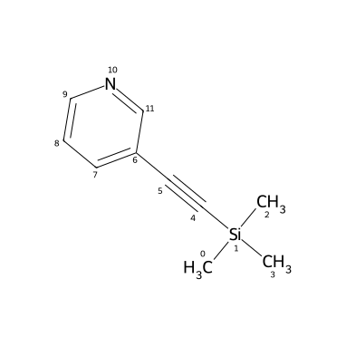 C[Si](C)(C)C#Cc1cccnc1